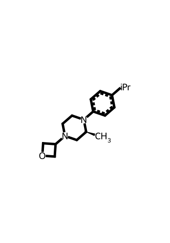 CC(C)c1ccc(N2CCN(C3COC3)C[C@@H]2C)cc1